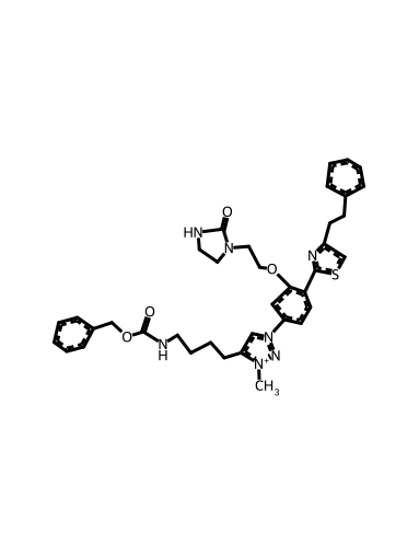 C[n+]1nn(-c2ccc(-c3nc(CCc4ccccc4)cs3)c(OCCN3CCNC3=O)c2)cc1CCCCNC(=O)OCc1ccccc1